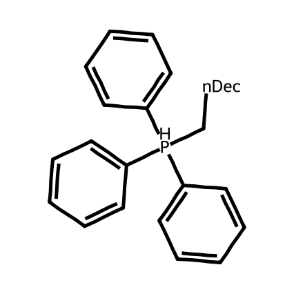 CCCCCCCCCCC[PH](c1ccccc1)(c1ccccc1)c1ccccc1